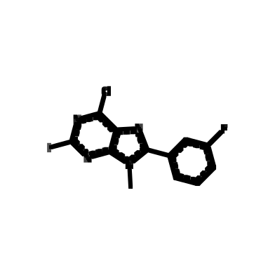 Cn1c(-c2cccc(F)c2)nc2c(Cl)nc(I)nc21